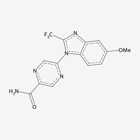 COc1ccc2c(c1)nc(C(F)(F)F)n2-c1cnc(C(N)=O)cn1